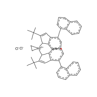 CC(C)(C)C1=Cc2c(-c3cccc4ccccc34)cccc2[CH]1[Hf+2]1([CH]2C(C(C)(C)C)=Cc3c(-c4cccc5ccccc45)cccc32)[CH2][CH2]1.[Cl-].[Cl-]